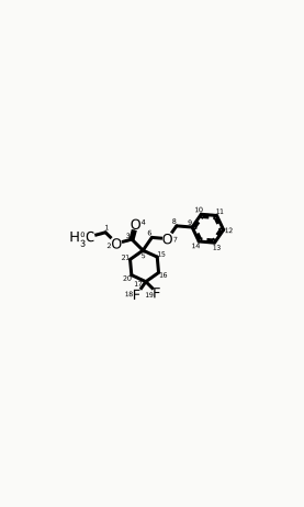 CCOC(=O)C1(COCc2ccccc2)CCC(F)(F)CC1